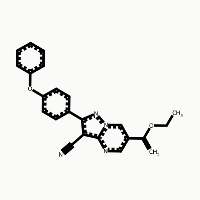 C=C(OCC)c1cnc2c(C#N)c(-c3ccc(Oc4ccccc4)cc3)nn2c1